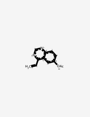 C=Cc1ncnc2ccc(OC(C)=O)cc12